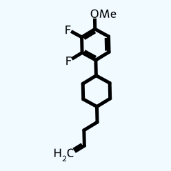 C=CCCC1CCC(c2ccc(OC)c(F)c2F)CC1